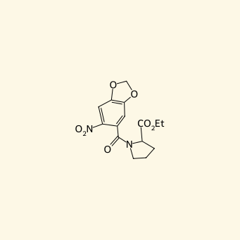 CCOC(=O)C1CCCN1C(=O)c1cc2c(cc1[N+](=O)[O-])OCO2